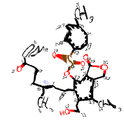 COC(=O)CC/C(C)=C/Cc1c(CO)c(C)c2c(c1OS(=O)(=O)c1ccc(C)cc1)C(=O)OC2